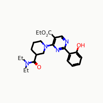 CCOC(=O)c1cnc(-c2ccccc2O)nc1N1CCCC(C(=O)N(CC)CC)C1